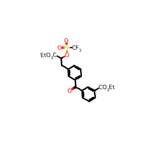 CCOC(=O)c1cccc(C(=O)c2cccc(CC(OS(=O)(=O)C(F)(F)F)C(=O)OCC)c2)c1